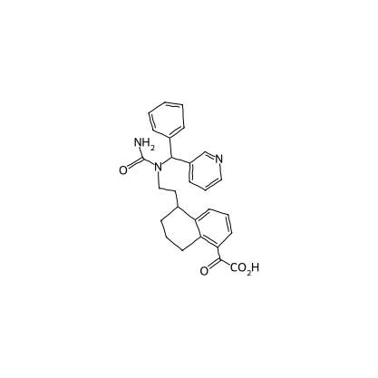 NC(=O)N(CCC1CCCc2c(C(=O)C(=O)O)cccc21)C(c1ccccc1)c1cccnc1